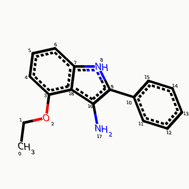 CCOc1cccc2[nH]c(-c3ccccc3)c(N)c12